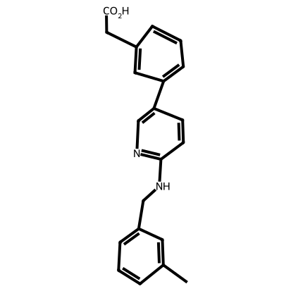 Cc1cccc(CNc2ccc(-c3cccc(CC(=O)O)c3)cn2)c1